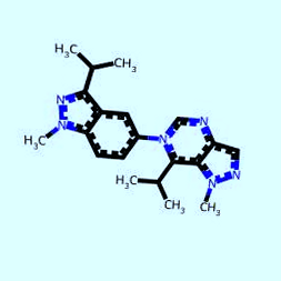 CC(C)c1nn(C)c2ccc(-[n+]3cnc4cnn(C)c4c3C(C)C)cc12